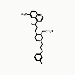 COc1ccc2nccc([C@H](F)CC[C@@H]3CCN(CCSc4cccc(C)c4)C[C@@H]3CC(=O)O)c2c1